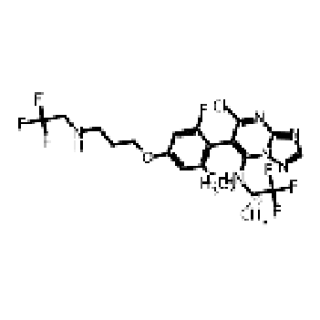 Cc1cc(OCCCNCC(F)(F)F)cc(F)c1-c1c(Cl)nc2ncnn2c1N(C)[C@@H](C)C(F)(F)F